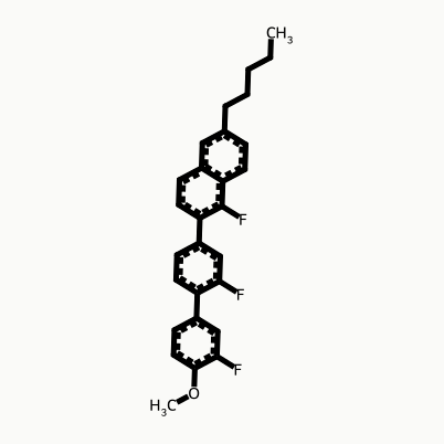 CCCCCc1ccc2c(F)c(-c3ccc(-c4ccc(OC)c(F)c4)c(F)c3)ccc2c1